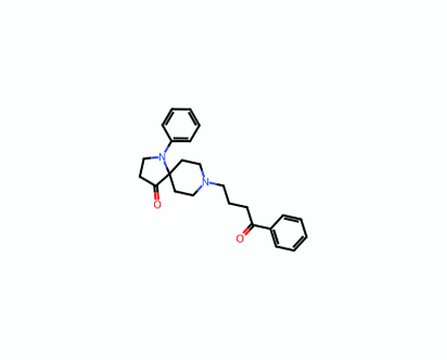 O=C(CCCN1CCC2(CC1)C(=O)CCN2c1ccccc1)c1ccccc1